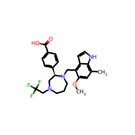 COc1cc(C)c2[nH]ccc2c1CN1CCCN(CC(F)(F)F)C[C@H]1c1ccc(C(=O)O)cc1